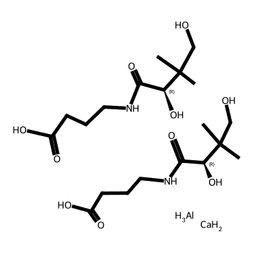 CC(C)(CO)[C@@H](O)C(=O)NCCCC(=O)O.CC(C)(CO)[C@@H](O)C(=O)NCCCC(=O)O.[AlH3].[CaH2]